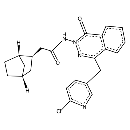 O=C(C[C@H]1C[C@@H]2CC[C@H]1C2)Nn1nc(Cc2ccc(Cl)nc2)c2ccccc2c1=O